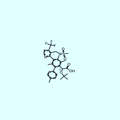 Cc1ccc(-c2c(C)c3c(c(C)c2[C@H](OC(C)(C)C)C(=O)O)N(S(C)(=O)=O)Cc2c(C(F)(F)F)ccnc2-3)cc1